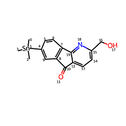 [CH3][Sn]([CH3])([CH3])[c]1ccc2c(c1)C(=O)c1ccc(CO)nc1-2